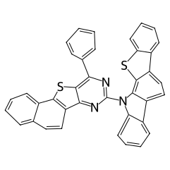 c1ccc(-c2nc(-n3c4ccccc4c4ccc5c6ccccc6sc5c43)nc3c2sc2c4ccccc4ccc32)cc1